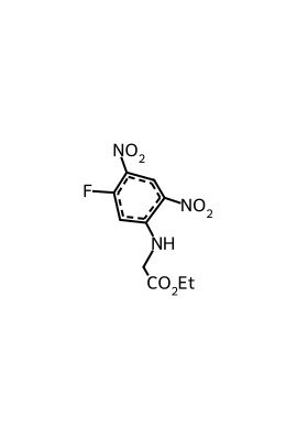 CCOC(=O)CNc1cc(F)c([N+](=O)[O-])cc1[N+](=O)[O-]